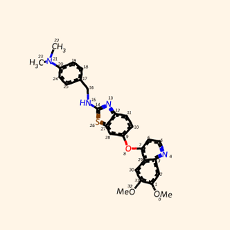 COc1cc2nccc(Oc3ccc4nc(NCc5ccc(N(C)C)cc5)sc4c3)c2cc1OC